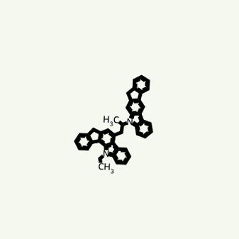 CCn1c2ccccc2c2c(CC(C)n3c4ccccc4c4cc5c(cc43)Cc3ccccc3-5)cc3c(c21)-c1ccccc1C3